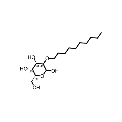 CCCCCCCCCCO[C@H]1C(O)O[C@H](CO)[C@H](O)[C@@H]1O